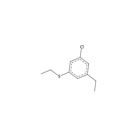 CCSc1cc(Cl)cc(CC)c1